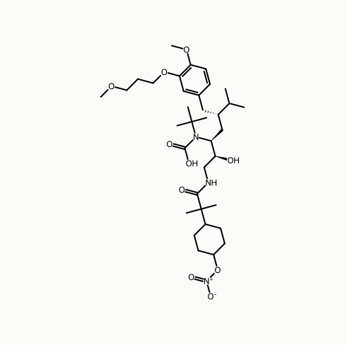 COCCCOc1cc(C[C@@H](C[C@@H]([C@@H](O)CNC(=O)C(C)(C)C2CCC(O[N+](=O)[O-])CC2)N(C(=O)O)C(C)(C)C)C(C)C)ccc1OC